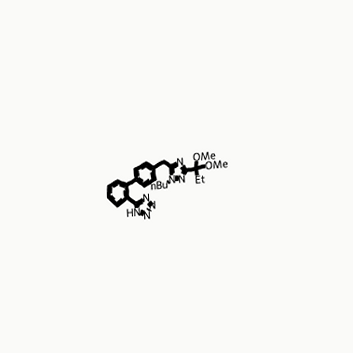 CCCCn1nc(C(CC)(OC)OC)nc1Cc1ccc(-c2ccccc2-c2nnn[nH]2)cc1